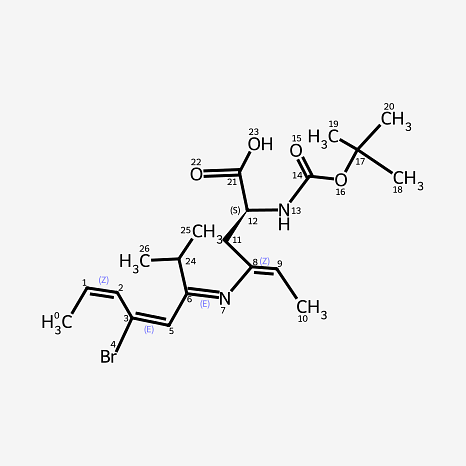 C\C=C/C(Br)=C\C(=N\C(=C/C)C[C@H](NC(=O)OC(C)(C)C)C(=O)O)C(C)C